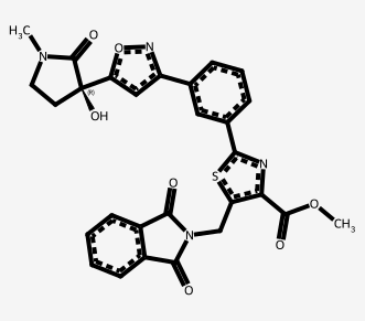 COC(=O)c1nc(-c2cccc(-c3cc([C@]4(O)CCN(C)C4=O)on3)c2)sc1CN1C(=O)c2ccccc2C1=O